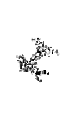 Cc1ccc(N(c2ccc(C)cc2)c2ccc(CCCCC3(c4ccc5c(c4)CC5CC(C)(C)C)c4ccccc4-c4ccccc43)cc2)cc1